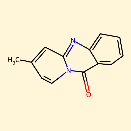 Cc1ccn2c(=O)c3ccccc3nc2c1